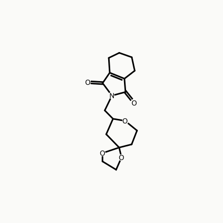 O=C1C2=C(CCCC2)C(=O)N1CC1CC2(CCO1)OCCO2